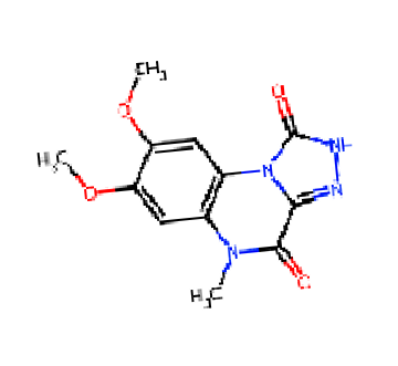 COc1cc2c(cc1OC)n1c(=O)[nH]nc1c(=O)n2C